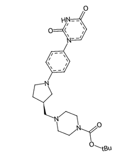 CC(C)(C)OC(=O)N1CCN(C[C@H]2CCN(c3ccc(-n4ccc(=O)[nH]c4=O)cc3)C2)CC1